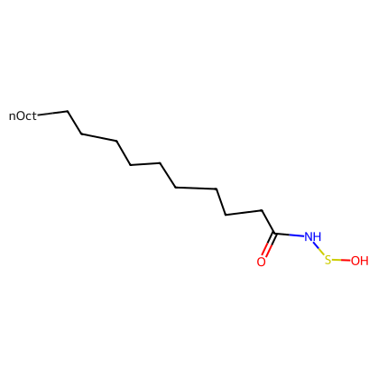 CCCCCCCCCCCCCCCCCC(=O)NSO